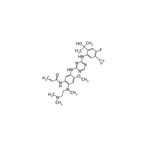 C=CC(=O)Nc1cc(Nc2ncnc(Nc3cc(C4CC4)c(F)cc3C(C)(C)O)n2)c(OC)cc1N(C)CCN(C)C